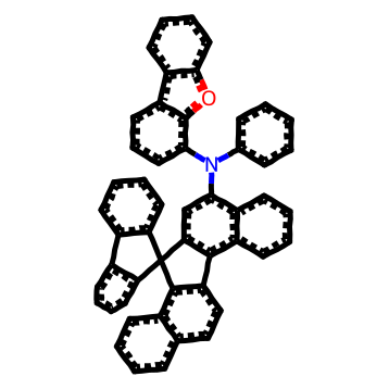 c1ccc(N(c2cc3c(c4ccccc24)-c2ccc4ccccc4c2C32c3ccccc3-c3ccccc32)c2cccc3c2oc2ccccc23)cc1